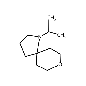 CC(C)N1CCCC12CCOCC2